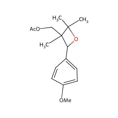 COc1ccc(C2OC(C)(C)C2(C)COC(C)=O)cc1